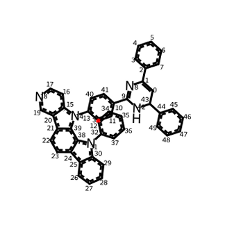 C1=C(c2ccccc2)N=C(c2ccc(-n3c4ccncc4c4ccc5c6ccccc6n(-c6ccccc6)c5c43)cc2)NC1c1ccccc1